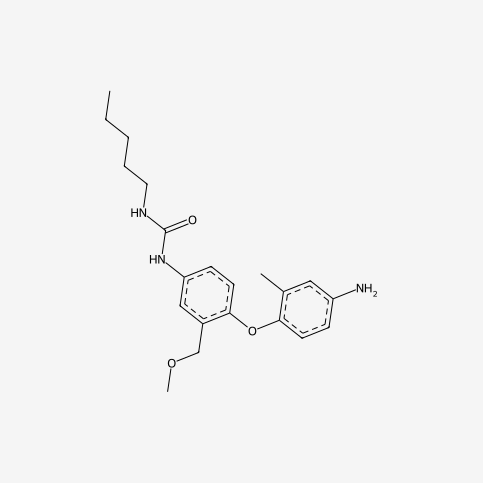 CCCCCNC(=O)Nc1ccc(Oc2ccc(N)cc2C)c(COC)c1